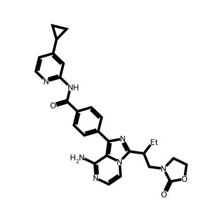 CCC(CN1CCOC1=O)c1nc(-c2ccc(C(=O)Nc3cc(C4CC4)ccn3)cc2)c2c(N)nccn12